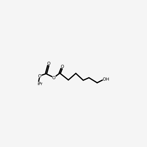 CC(C)OC(=O)OC(=O)CCCCCO